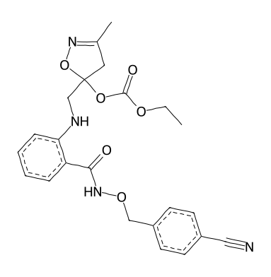 CCOC(=O)OC1(CNc2ccccc2C(=O)NOCc2ccc(C#N)cc2)CC(C)=NO1